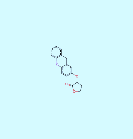 O=C1OCCC1Oc1ccc2c(c1)Cc1ccccc1[I+]2